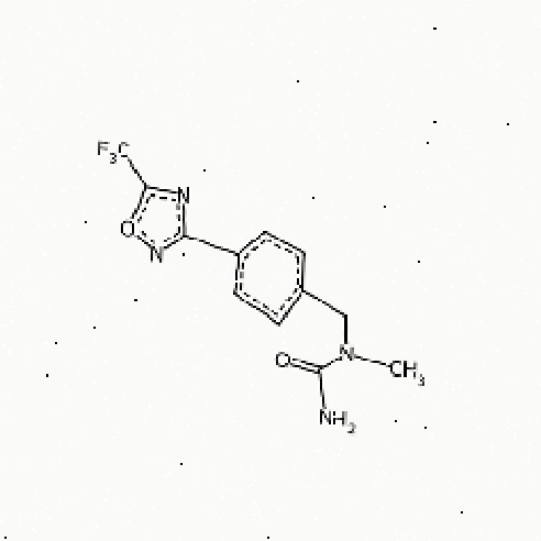 CN(Cc1ccc(-c2noc(C(F)(F)F)n2)cc1)C(N)=O